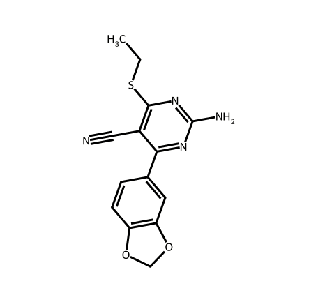 CCSc1nc(N)nc(-c2ccc3c(c2)OCO3)c1C#N